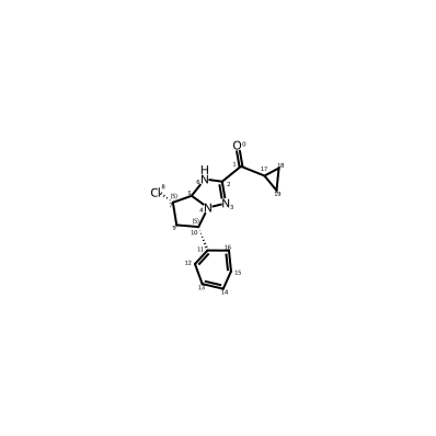 O=C(C1=NN2C(N1)[C@@H](Cl)C[C@H]2c1ccccc1)C1CC1